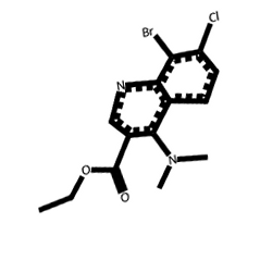 CCOC(=O)c1cnc2c(Br)c(Cl)ccc2c1N(C)C